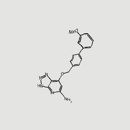 COc1cccc(-c2ccc(COc3cc(N)nc4[nH]nnc34)cc2)c1